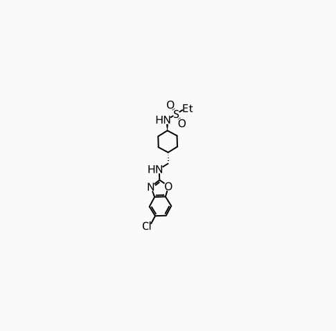 CCS(=O)(=O)N[C@H]1CC[C@H](CNc2nc3cc(Cl)ccc3o2)CC1